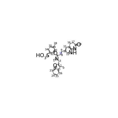 Cc1c(CN(C)C(=O)/C=C/c2cnc3c(c2)CCC(=O)N3)oc2ccccc12.Cc1ccc(S(=O)(=O)O)cc1